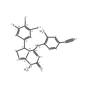 Cc1cc(C#N)ccc1NC1=NC(=O)N(C)C2=NCC(c3cc(F)c(F)c(F)c3)N12